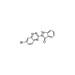 O=c1c2ccccc2[se]n1-c1nnc2cc(Br)ccc2n1